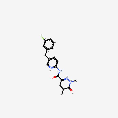 CC1CC(C(=O)Nc2ccc(Cc3cccc(F)c3)cn2)=NN(C)C1=O